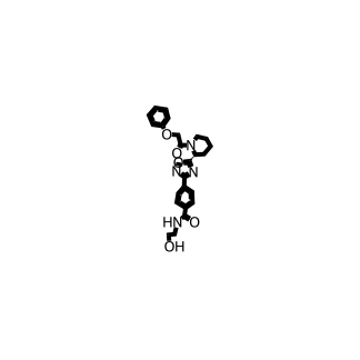 O=C(NCCO)c1ccc(-c2noc([C@H]3CCCCN3C(=O)COc3ccccc3)n2)cc1